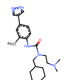 COc1cc(-c2cn[nH]c2)ccc1NC(=O)N(CCN(C)C)CC1CCCCC1